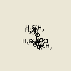 CCOC(=O)c1c(-c2cccnc2OC)c2cc(Cl)ccc2n1CC1CCCN(C(=O)OC(C)(C)C)C1